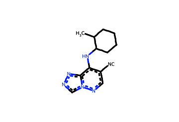 [C-]#[N+]c1cnn2cnnc2c1NC1CCCCC1C